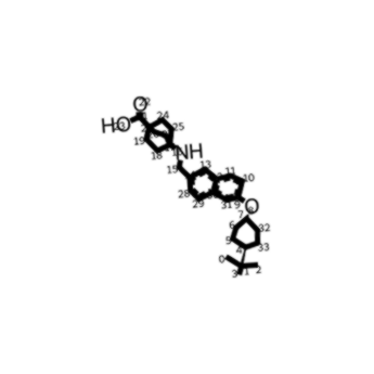 CC(C)(C)[C@H]1CC[C@H](Oc2ccc3cc(CNC45CCC(C(=O)O)(CC4)CC5)ccc3c2)CC1